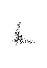 CCCCCCCCc1cccc(C2=C(C)C=C(c3ccc(CCCCCC)cc3)[N+]2=[N-])c1.C[CH2][Ni][CH2]C